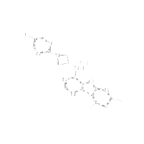 Cc1cc(C)c2c(n1)oc1c(NC3CN(c4ncc(F)cn4)C3)ncnc12.Cl